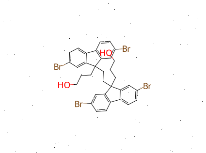 OCCCC1(CCC2(CCCO)c3cc(Br)ccc3-c3ccc(Br)cc32)c2cc(Br)ccc2-c2ccc(Br)cc21